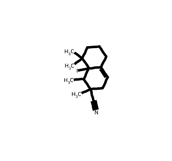 CC1C(C)(C#N)CC=C2CCCC(C)(C)C21I